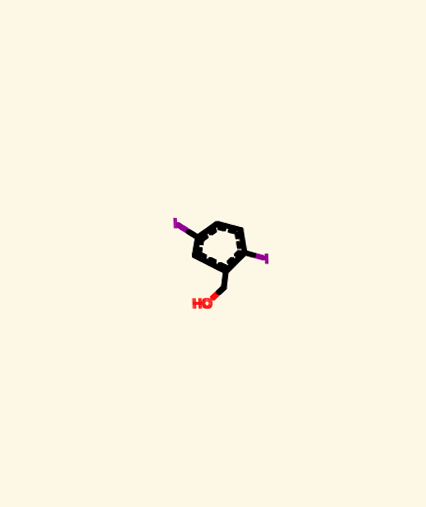 OCc1cc(I)ccc1I